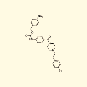 O=C(Nc1ccc(C(=O)N2CCN(CCc3ccc(Cl)cc3)CC2)cc1)OCc1ccc([N+](=O)[O-])cc1